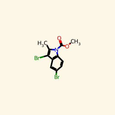 COC(=O)n1c(C)c(Br)c2cc(Br)ccc21